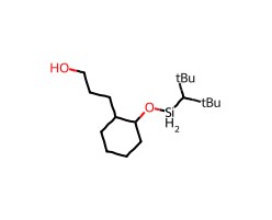 CC(C)(C)C([SiH2]OC1CCCCC1CCCO)C(C)(C)C